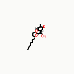 CCCCCCCC[C@@H]1CCC[C@]2(C=C(CO)[C@H]3CC(=O)C(C)=C[C@H]3O2)O1